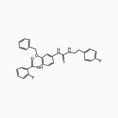 O=C(Nc1ccc(NC(=S)NCCc2ccc(F)cc2)cc1OCc1ccccc1)c1ccccc1F